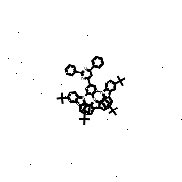 CC(C)(C)c1ccc2c(c1)c1cc(C(C)(C)C)ccc1n2-c1cc(-c2cc(-c3ccccc3)nc(-c3ccccc3)n2)cc(-n2c3ccc(C(C)(C)C)cc3c3cc(C(C)(C)C)ccc32)c1-n1c2ccccc2c2ccccc21